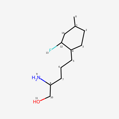 CC1CCC(CCCC(N)CO)C(F)C1